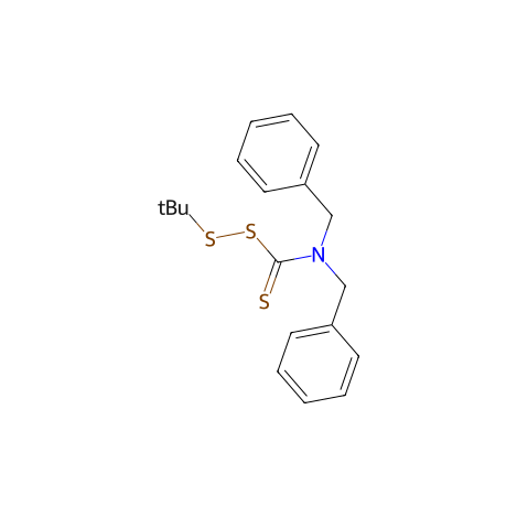 CC(C)(C)SSC(=S)N(Cc1ccccc1)Cc1ccccc1